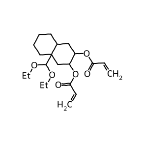 C=CC(=O)OC1CC2CCCCC2(C(OCC)OCC)CC1OC(=O)C=C